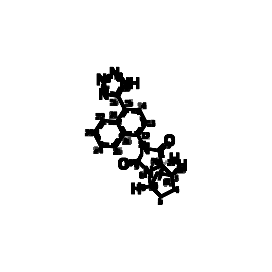 O=C1[C@H]2[C@@H]3CC[C@@H](C3)N2C(=O)N1c1ccc(-c2nnn[nH]2)c2ccccc12